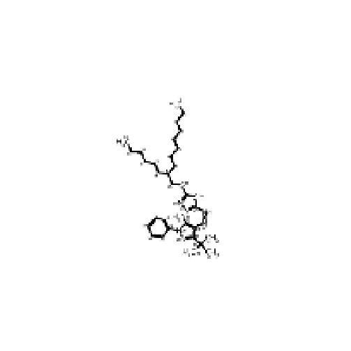 CCCCCCCCC(CCCCCC)CSc1nnc(/N=N\c2c(C(C)(C)C)nn(-c3ccccc3)c2N)s1